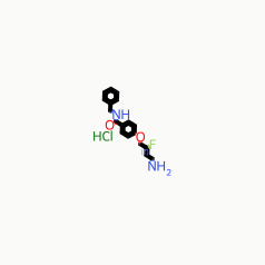 Cl.NC/C=C(\F)COc1ccc(C(=O)NCc2ccccc2)cc1